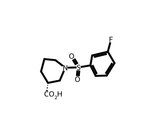 O=C(O)[C@@H]1CCCN(S(=O)(=O)c2cccc(F)c2)C1